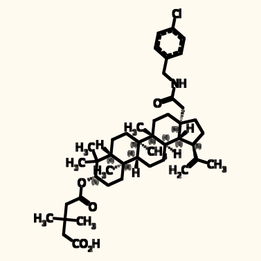 C=C(C)[C@@H]1CC[C@]2(CC(=O)NCc3ccc(Cl)cc3)CC[C@]3(C)[C@H](CC[C@@H]4[C@@]5(C)CC[C@H](OC(=O)CC(C)(C)CC(=O)O)C(C)(C)[C@@H]5CC[C@]43C)[C@@H]12